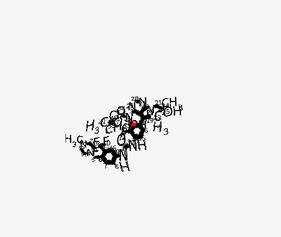 CN1CCN(Cc2ccc(NC(=O)Nc3ccc(-c4cn(CC(C)(C)O)c5ncnc(N(C(=O)O)C(=O)OC(C)(C)C)c45)cc3F)cc2C(F)(F)F)CC1